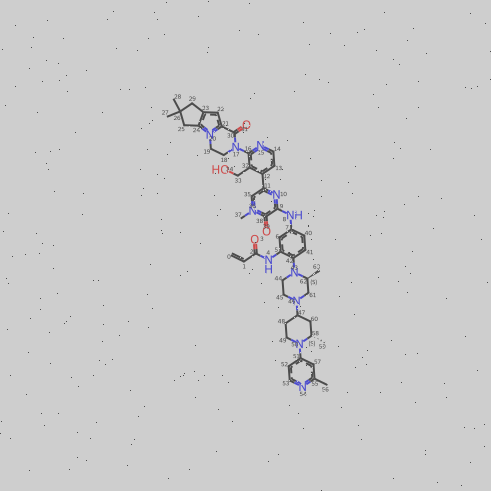 C=CC(=O)Nc1cc(Nc2nc(-c3ccnc(N4CCn5c(cc6c5CC(C)(C)C6)C4=O)c3CO)cn(C)c2=O)ccc1N1CCN(C2CCN(c3ccnc(C)c3)[C@@H](C)C2)C[C@@H]1C